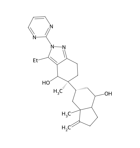 C=C1CCC2C(O)C[C@@H]([C@]3(C)CCc4nn(-c5ncccn5)c(CC)c4C3O)CC12C